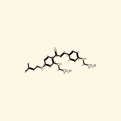 CC(C)=CCOc1ccc(C(=O)/C=C/c2ccc(OCC(=O)O)cc2)c(OCC(=O)O)c1